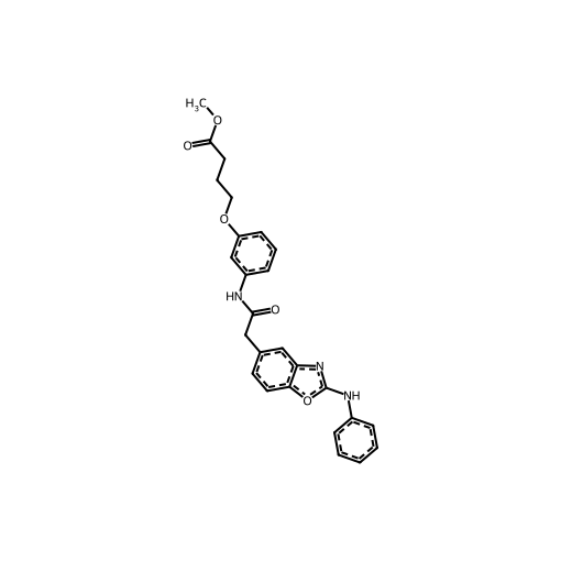 COC(=O)CCCOc1cccc(NC(=O)Cc2ccc3oc(Nc4ccccc4)nc3c2)c1